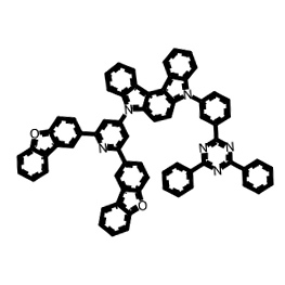 c1ccc(-c2nc(-c3ccccc3)nc(-c3cccc(-n4c5ccccc5c5c6c7ccccc7n(-c7cc(-c8ccc9oc%10ccccc%10c9c8)nc(-c8ccc9oc%10ccccc%10c9c8)c7)c6ccc54)c3)n2)cc1